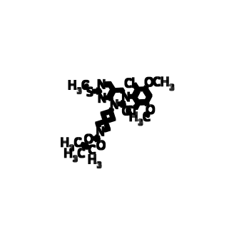 COc1cc(OC)c(Cl)c(N2Cc3cnc(SC)nc3N(C3CC4(C3)CN(C(=O)OC(C)(C)C)C4)C2=O)c1Cl